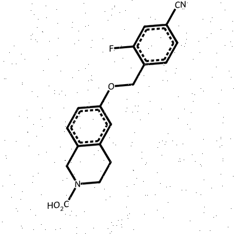 N#Cc1ccc(COc2ccc3c(c2)CCN(C(=O)O)C3)c(F)c1